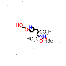 CC(C)(C)OC(=O)N[C@H](C[C@H](Cc1ccc(OCCO)nc1)C(=O)O)C(=O)O